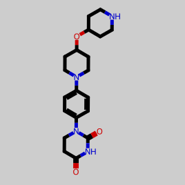 O=C1CCN(c2ccc(N3CCC(OC4CCNCC4)CC3)cc2)C(=O)N1